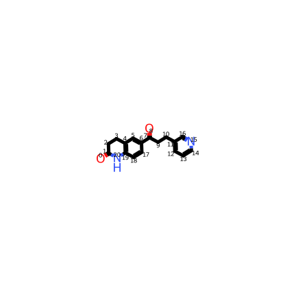 O=C1CCc2cc(C(=O)CCc3cccnc3)ccc2N1